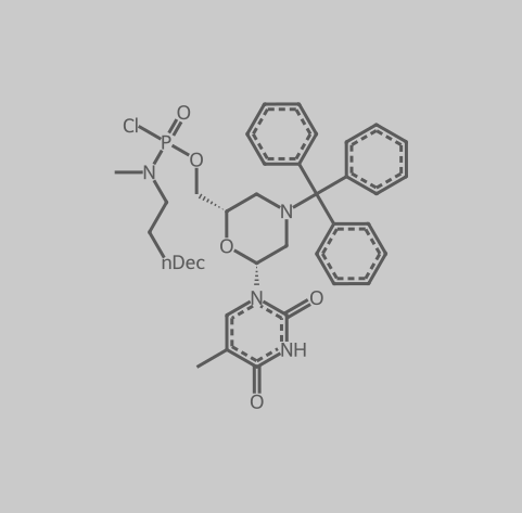 CCCCCCCCCCCCN(C)P(=O)(Cl)OC[C@@H]1CN(C(c2ccccc2)(c2ccccc2)c2ccccc2)C[C@H](n2cc(C)c(=O)[nH]c2=O)O1